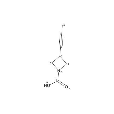 CC#CC1CN(C(=O)O)C1